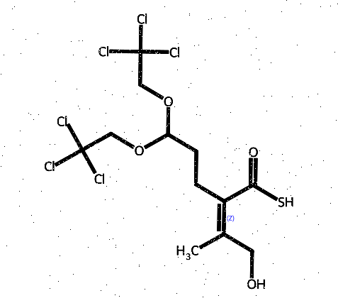 C/C(CO)=C(\CCC(OCC(Cl)(Cl)Cl)OCC(Cl)(Cl)Cl)C(=O)S